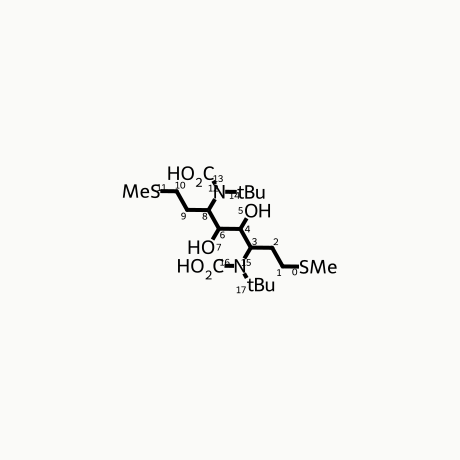 CSCCC(C(O)C(O)C(CCSC)N(C(=O)O)C(C)(C)C)N(C(=O)O)C(C)(C)C